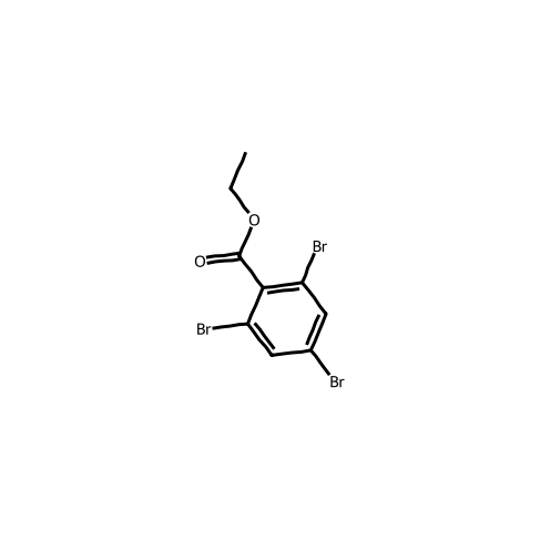 CCOC(=O)c1c(Br)cc(Br)cc1Br